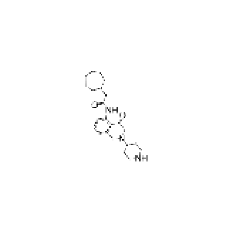 O=C(CC1CCCCCC1)Nc1cccc2c1C(=O)CN(C1CCNCC1)C2